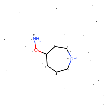 NOC1CCCNCC1